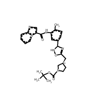 Cc1ccc(C2N=C(C[C@H]3CCN(C(=O)OC(C)(C)C)C3)ON2)cc1NC(=O)c1cnc2ccccn12